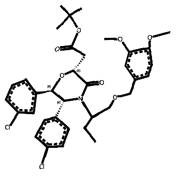 CCC(COCc1ccc(OC)c(OC)c1)N1C(=O)[C@@H](CC(=O)OC(C)(C)C)O[C@H](c2cccc(Cl)c2)[C@H]1c1ccc(Cl)cc1